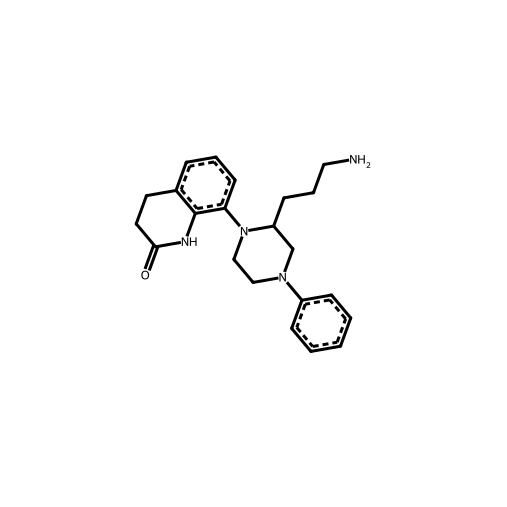 NCCCC1CN(c2ccccc2)CCN1c1cccc2c1NC(=O)CC2